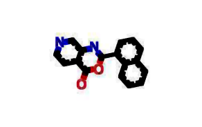 O=c1oc(-c2cccc3ccccc23)nc2cnccc12